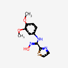 COc1ccc(NC(=NO)c2nccs2)cc1OC